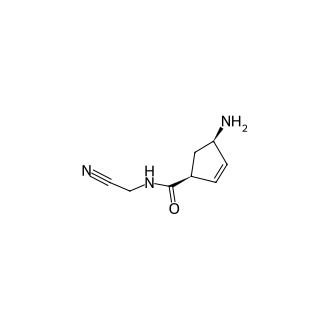 N#CCNC(=O)[C@@H]1C=C[C@H](N)C1